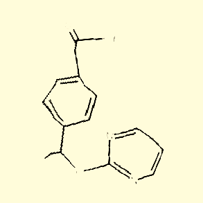 CC(Oc1ncccn1)c1ccc(C(=O)O)cc1